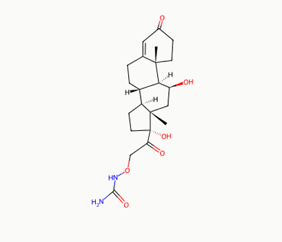 C[C@]12CCC(=O)C=C1CC[C@@H]1[C@@H]2[C@@H](O)C[C@@]2(C)[C@H]1CC[C@]2(O)C(=O)CONC(N)=O